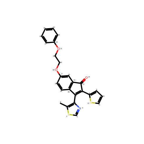 Cc1scnc1C1=C(c2cccs2)C(=O)c2cc(OCCOc3ccccc3)ccc21